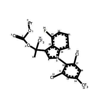 CC(C)OC(=O)OC(C)(c1cn(-c2c(Cl)cc(C(F)(F)F)cc2Cl)c2cccc(F)c12)C(F)(F)F